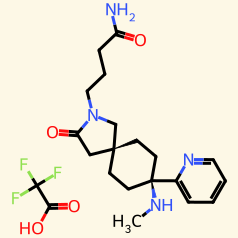 CN[C@]1(c2ccccn2)CC[C@@]2(CC1)CC(=O)N(CCCC(N)=O)C2.O=C(O)C(F)(F)F